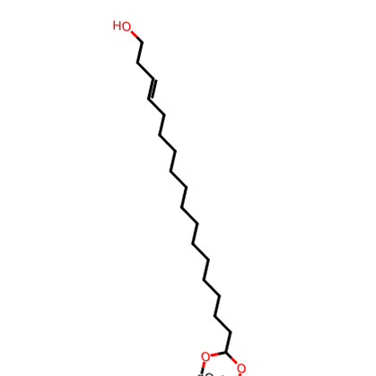 CCCCCCCCOC(CCCCCCCCCCCCC/C=C/CCO)OCCCCCCCC